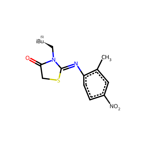 CC[C@H](C)CN1C(=O)CSC1=Nc1ccc([N+](=O)[O-])cc1C